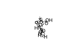 CC1(C)[C@@H]2C[C@H]1[C@H]1OB([C@@H](CC=CC(CC(=O)O)O[Si](C)(C)C(C)(C)C)NC(=O)Cc3cccs3)O[C@@]1(C)C2